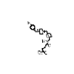 CCC(=O)CCCC(=O)NCC1CCC(CN2CCN(Cc3ccc(F)cc3)CC2)O1